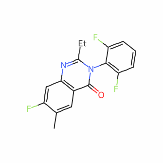 CCc1nc2cc(F)c(C)cc2c(=O)n1-c1c(F)cccc1F